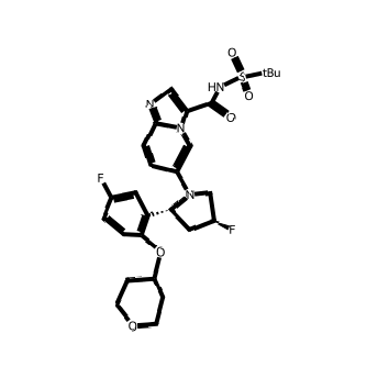 CC(C)(C)S(=O)(=O)NC(=O)c1cnc2ccc(N3C[C@@H](F)C[C@@H]3c3cc(F)ccc3OC3CCOCC3)cn12